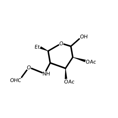 CC[C@H]1OC(O)[C@@H](OC(C)=O)[C@@H](OC(C)=O)C1NOC=O